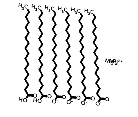 CCCCCCCCCCCCCCCCCC(=O)O.CCCCCCCCCCCCCCCCCC(=O)O.CCCCCCCCCCCCCCCCCC(=O)[O-].CCCCCCCCCCCCCCCCCC(=O)[O-].CCCCCCCCCCCCCCCCCC(=O)[O-].CCCCCCCCCCCCCCCCCC(=O)[O-].[Mg+2].[Mg+2]